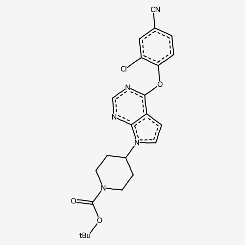 CC(C)(C)OC(=O)N1CCC(n2ccc3c(Oc4ccc(C#N)cc4Cl)ncnc32)CC1